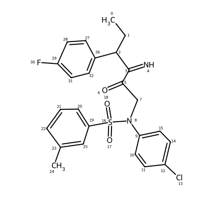 CCC(C(=N)C(=O)CN(c1ccc(Cl)cc1)S(=O)(=O)c1cccc(C)c1)c1ccc(F)cc1